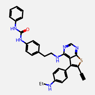 C#Cc1sc2ncnc(NCCc3ccc(NC(=O)Nc4ccccc4)cc3)c2c1-c1ccc(NCC)cc1